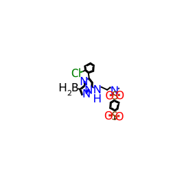 Bc1cnn2c(NCCCN(C)S(=O)(=O)c3ccc(S(C)(=O)=O)cc3)cc(-c3ccccc3Cl)nc12